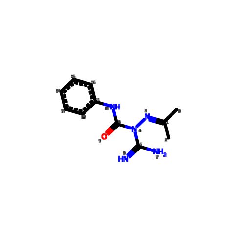 CC(C)=NN(C(=N)N)C(=O)Nc1ccccc1